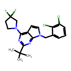 CC(C)(C)c1nc(N2CCC(F)(F)C2)c2ccn(Cc3cccc(Cl)c3Cl)c2n1